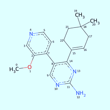 COc1cnccc1-c1cnc(N)nc1C1=CCC(C)(C)CC1